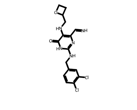 N=Cc1nc(NCc2ccc(Cl)c(Cl)c2)[nH]c(=O)c1NCC1CCO1